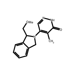 COCC1c2ccccc2CN1c1cn[nH]c(=O)c1C